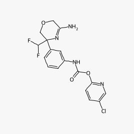 NC1=NC(c2cccc(NC(=O)Oc3ccc(Cl)cn3)c2)(C(F)F)COC1